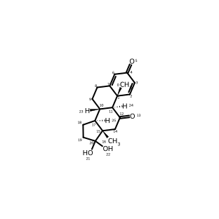 C[C@]12C=CC(=O)C=C1CC[C@@H]1[C@@H]2C(=O)C[C@@]2(C)[C@H]1CCC2(O)O